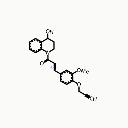 C#CCOc1ccc(/C=C/C(=O)N2CCC(O)c3ccccc32)cc1OC